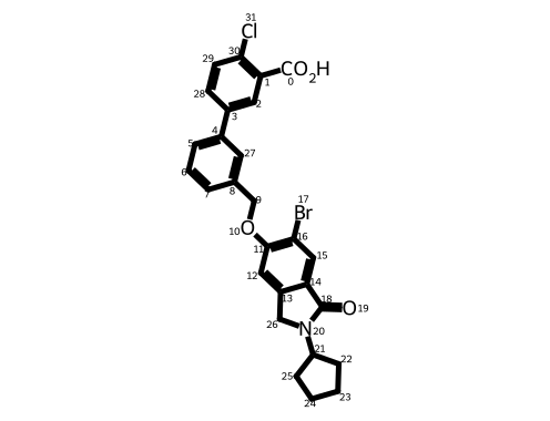 O=C(O)c1cc(-c2cccc(COc3cc4c(cc3Br)C(=O)N(C3CCCC3)C4)c2)ccc1Cl